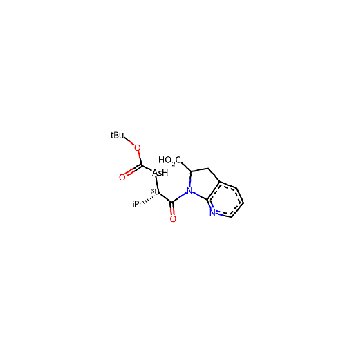 CC(C)[C@H]([AsH]C(=O)OC(C)(C)C)C(=O)N1c2ncccc2CC1C(=O)O